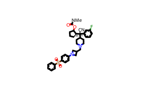 CNC(=O)OC1CCC[C@@H]1[C@](C#N)(c1cccc(F)c1)C1CCN(CC2CN(c3ccc(S(=O)(=O)c4ccccc4)cc3)C2)CC1